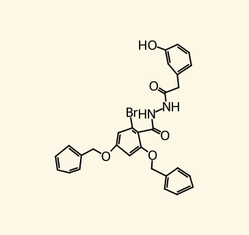 O=C(Cc1cccc(O)c1)NNC(=O)c1c(Br)cc(OCc2ccccc2)cc1OCc1ccccc1